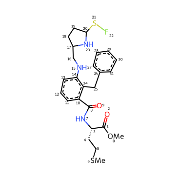 COC(=O)[C@H](CCSC)NC(=O)c1cccc(NCC2CCC(SF)N2)c1Cc1ccccc1